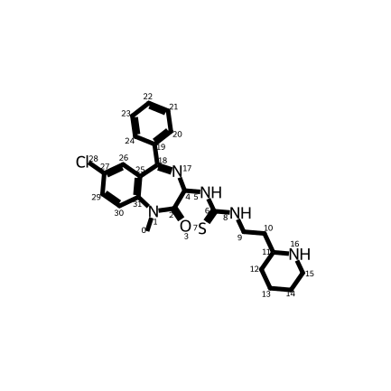 CN1C(=O)C(NC(=S)NCCC2CCCCN2)N=C(c2ccccc2)c2cc(Cl)ccc21